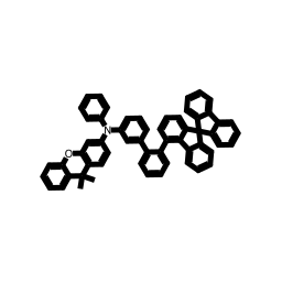 CC1(C)c2ccccc2Oc2cc(N(c3ccccc3)c3cccc(-c4ccccc4-c4cccc5c4-c4ccccc4C54c5ccccc5-c5ccccc54)c3)ccc21